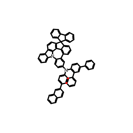 c1ccc(-c2ccc(N(c3ccc(-c4ccc5ccccc5c4)cc3)c3ccc4c(c3)-c3cccc5c3-c3c(ccc6c7ccccc7n-4c36)C53c4ccccc4-c4ccccc43)c(-c3ccccc3)c2)cc1